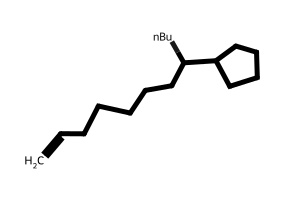 C=CCCCCCC(CCCC)C1CCCC1